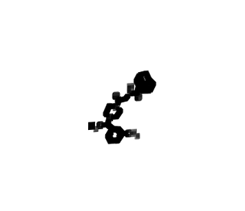 Cc1cccc(C(C)N2CCN(C(=O)CNC(=O)C34CC5CC(CC(C5)C3)C4)CC2)c1